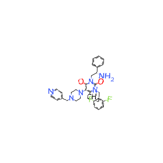 Cc1c(N2CCN(Cc3ccncc3)CC2)c(=O)n(C[C@@H](N)c2ccccc2)c(=O)n1Cc1c(F)cccc1F